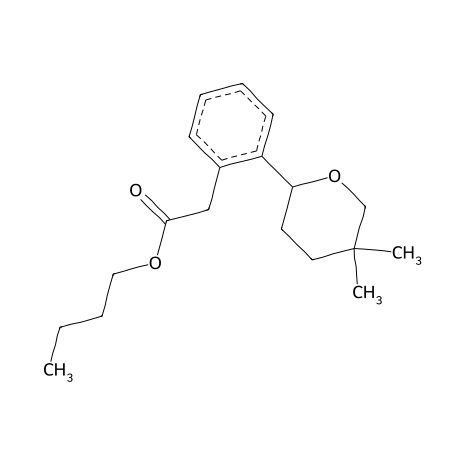 CCCCOC(=O)Cc1ccccc1C1CCC(C)(C)CO1